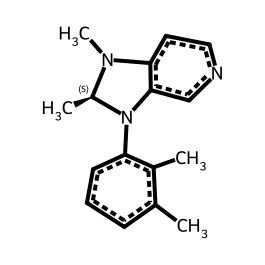 Cc1cccc(N2c3cnccc3N(C)[C@@H]2C)c1C